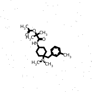 CC(=O)OC(C)(C)C(=O)NC1CCC(Cc2cccc(C)c2)(N(C)C)CC1